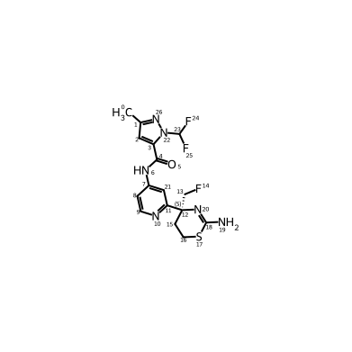 Cc1cc(C(=O)Nc2ccnc([C@]3(CF)CCSC(N)=N3)c2)n(C(F)F)n1